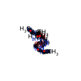 CCCN(CC(=O)N(CC(N)=O)Cc1cn(CCCNC(=O)CCCOc2c(C(C)(C)C)cc(-c3nc4cc(N5CCN(C)CC5)ccc4[nH]3)cc2C(C)(C)C)nn1)C(=O)CCCOc1cccc(-c2nc3ccc(-c4nc5ccc(N6CCN(C)CC6)cc5[nH]4)cc3[nH]2)c1